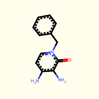 Nc1ccn(Cc2ccccc2)c(=O)c1N